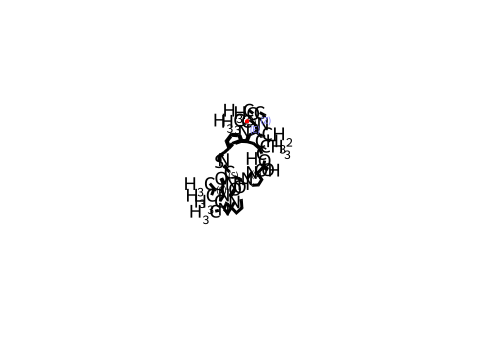 C=C/C(=C(\N=C/C)[C@H](C)OC)c1c2c3cc(ccc3n1CC)-c1csc(n1)C[C@H](NC(=O)[C@H](C(C)C)N(C)C(=O)N1CCCC13CN(C)C3)C(=O)N1CCC[C@@](O)(N1)C(=O)OCC(C)(C)C2